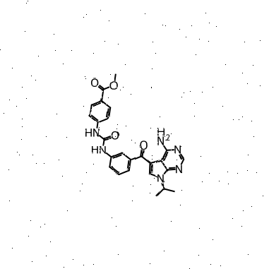 COC(=O)c1ccc(NC(=O)Nc2cccc(C(=O)c3cn(C(C)C)c4ncnc(N)c34)c2)cc1